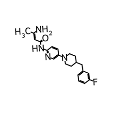 CC(N)=CC(=O)Nc1ccc(N2CCC(Cc3cccc(F)c3)CC2)cn1